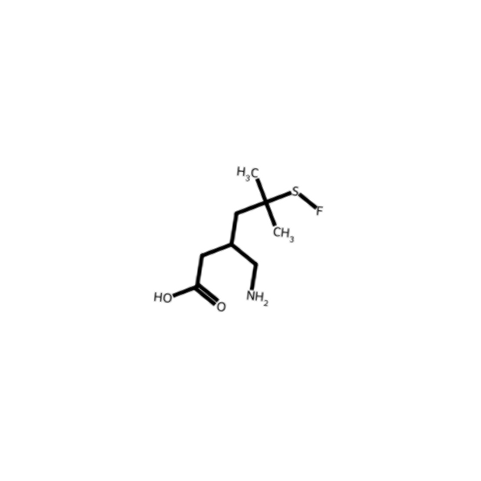 CC(C)(CC(CN)CC(=O)O)SF